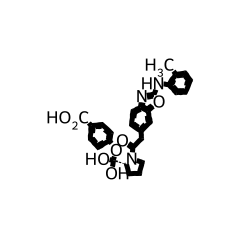 Cc1ccccc1Nc1nc2ccc(CC(=O)N3CCC[C@@H]3C(O)(O)Oc3ccc(C(=O)O)cc3)cc2o1